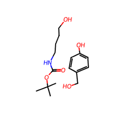 CC(C)(C)OC(=O)NCCCCO.OCc1ccc(O)cc1